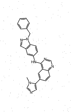 Cn1cncc1-c1ccc2ncnc(Nc3ccc4c(cnn4Cc4ccccc4)c3)c2c1